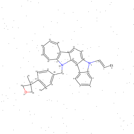 CC/C=C/n1c2ccccc2c2c3c(ccc21)c1c(n3Cc2ccc(C3(C)COC3)c(C)c2)C=C=CC=C1